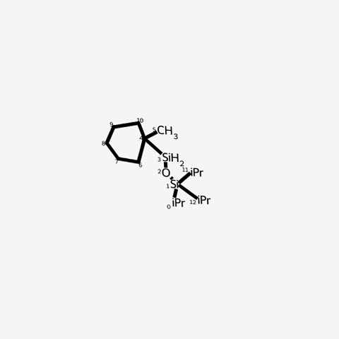 CC(C)[Si](O[SiH2]C1(C)CCCCC1)(C(C)C)C(C)C